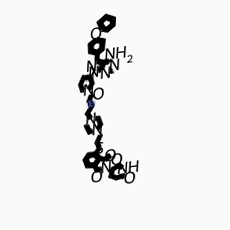 Nc1ncnc2c1c(-c1ccc(Oc3ccccc3)cc1)nn2[C@@H]1CCCN(C(=O)/C=C/CN2CCN(CCSc3cccc4c3C(=O)N(C3CCC(=O)NC3=O)C4=O)CC2)C1